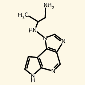 CC(CN)Nn1cnc2cnc3[nH]ccc3c21